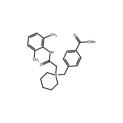 COC(=O)c1ccc(C[N+]2(CC(=O)Nc3c(C)cccc3C)CCCCC2)cc1